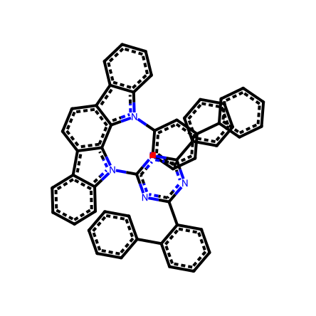 c1ccc(-c2cccc(-n3c4ccccc4c4ccc5c6ccccc6n(-c6nc(-c7ccccc7)nc(-c7ccccc7-c7ccccc7)n6)c5c43)c2)cc1